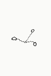 c1ccc(CCCCCCN(CCCCCCc2ccccc2)CCCCCCc2ccccc2)cc1